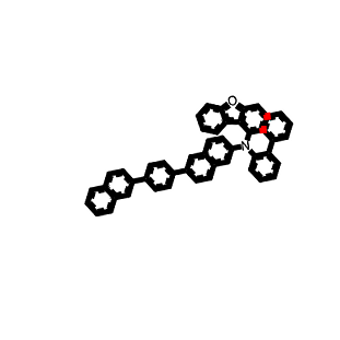 c1ccc(-c2ccccc2N(c2ccc3cc(-c4ccc(-c5ccc6ccccc6c5)cc4)ccc3c2)c2cccc3oc4ccccc4c23)cc1